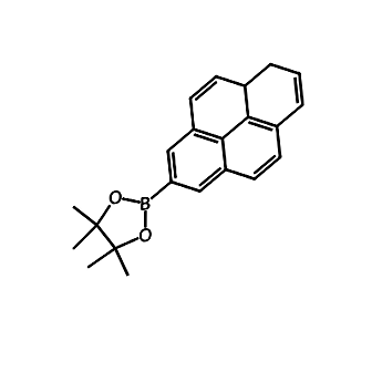 CC1(C)OB(c2cc3c4c5c(ccc4c2)C=CCC5C=C3)OC1(C)C